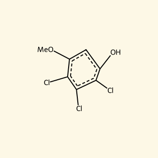 COc1cc(O)c(Cl)c(Cl)c1Cl